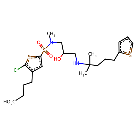 CN(CC(O)CNC(C)(C)CCCc1cccs1)S(=O)(=O)c1cc(CCCC(=O)O)c(Cl)s1